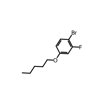 CCCCCOc1ccc(Br)c(F)c1